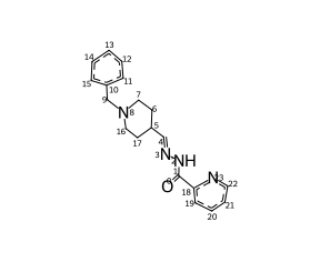 O=C(N/N=C/C1CCN(Cc2ccccc2)CC1)c1ccccn1